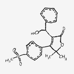 CC1(C)OC(=O)C(C(O)c2ccccc2)=C1c1ccc(S(C)(=O)=O)cc1